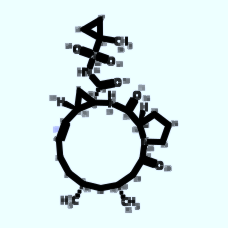 C[C@@H]1CC/C=C\[C@@H]2C[C@@]2(C(=O)NS(=O)(=O)C2(C)CC2)NC(=O)[C@@H]2CCCN2C(=O)C[C@H](C)C1